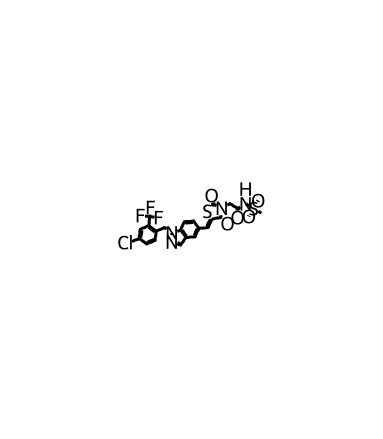 CS(=O)(=O)NC(=O)CN1C(=O)S/C(=C\c2ccc3c(cnn3Cc3ccc(Cl)cc3C(F)(F)F)c2)C1=O